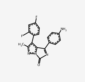 Cc1nn2c(c1-c1ccc(F)cc1F)C(c1ccc(N)cc1)=NC2=O